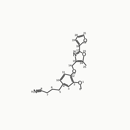 COc1cc(CCCC#N)ccc1OCc1nc(-c2ccco2)oc1C